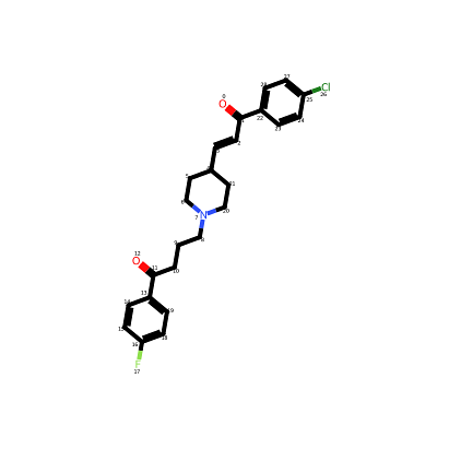 O=C(/C=C/C1CCN(CCCC(=O)c2ccc(F)cc2)CC1)c1ccc(Cl)cc1